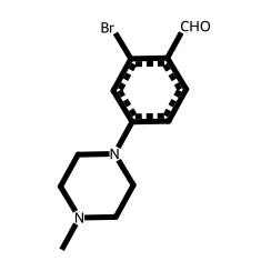 CN1CCN(c2ccc(C=O)c(Br)c2)CC1